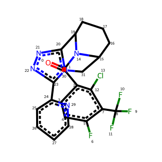 O=C(c1ccc(F)c(C(F)(F)F)c1Cl)N1C2CCCC1c1nnc(-c3ccccn3)n1C2